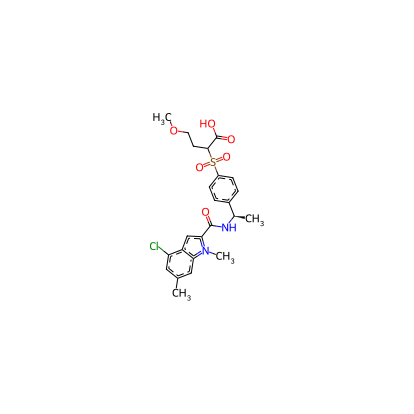 COCCC(C(=O)O)S(=O)(=O)c1ccc([C@@H](C)NC(=O)c2cc3c(Cl)cc(C)cc3n2C)cc1